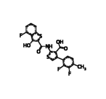 Cc1ccc(-c2csc(NC(=O)c3sc4cccc(F)c4c3O)c2C(=O)O)c(F)c1F